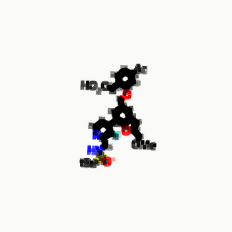 COCc1cc2cc(COc3cc(C(C)=O)ccc3CC(=O)O)cc(-c3ccnc(CN[S+]([O-])C(C)(C)C)c3F)c2o1